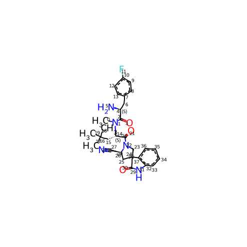 CN(C(=O)[C@@H](N)Cc1ccc(F)cc1)[C@@H](CC(C)(C)C)C(=O)N1C[C@]2(C[C@H]1C#N)C(=O)Nc1ccccc12